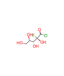 O=C(Cl)[C@@](O)(F)[C@H](O)[C@H](O)CO